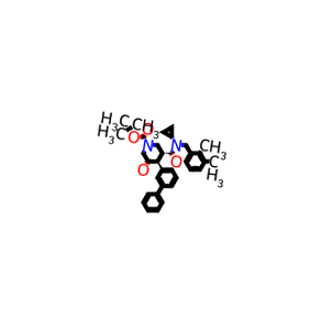 Cc1cccc(CN(C(=O)[C@H]2CN(C(=O)OC(C)(C)C)CC(=O)[C@@H]2c2cccc(-c3ccccc3)c2)C2CC2)c1C